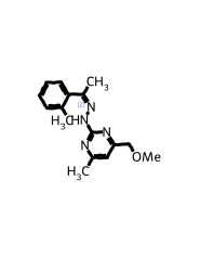 COCc1cc(C)nc(N/N=C(/C)c2ccccc2C)n1